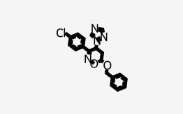 Clc1ccc(C2=NOC(OCc3ccccc3)CC2n2cncn2)cc1